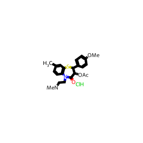 CNCCN1C(=O)C(OC(C)=O)C(c2ccc(OC)cc2)Sc2cc(C)ccc21.Cl